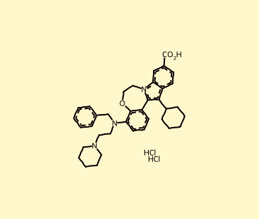 Cl.Cl.O=C(O)c1ccc2c(C3CCCCC3)c3n(c2c1)CCOc1c-3cccc1N(CCN1CCCCC1)Cc1ccccc1